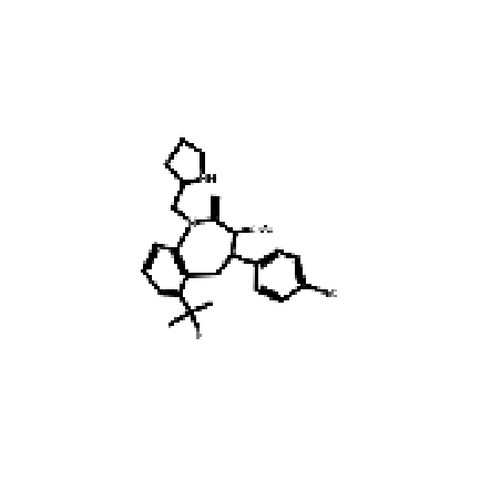 C=C1C(OC(C)=O)C(c2ccc(CC)cc2)Cc2c(cccc2C(C)(C)F)N1CC1CCCN1